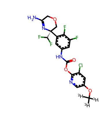 [2H]C([2H])([2H])Oc1cnc(OC(=O)Nc2cc(F)c(F)c([C@]3(C(F)F)COCC(N)=N3)c2)c(Cl)c1